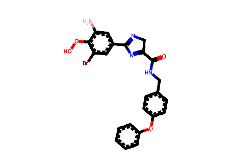 Bc1cc(C2=NCC(C(=O)NCc3ccc(Oc4ccccc4)cc3)=N2)cc(Br)c1OO